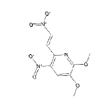 COc1cc([N+](=O)[O-])c(/C=C/[N+](=O)[O-])nc1OC